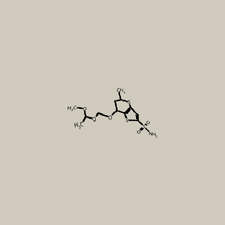 COC(C)OCOC1CC(C)Sc2cc(S(N)(=O)=O)sc21